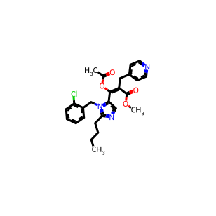 CCCCc1ncc(C(OC(C)=O)=C(Cc2ccncc2)C(=O)OC)n1Cc1ccccc1Cl